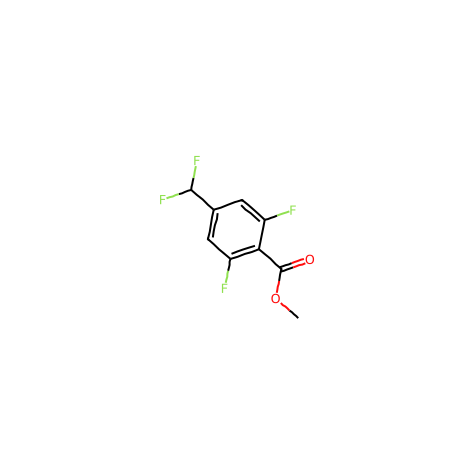 COC(=O)c1c(F)cc(C(F)F)cc1F